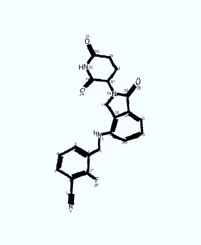 N#Cc1cccc(CNc2cccc3c2CN(C2CCC(=O)NC2=O)C3=O)c1F